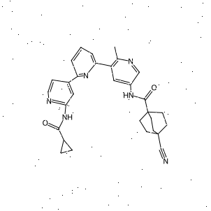 Cc1ncc(NC(=O)C23CCC(C#N)(CC2)CC3)cc1-c1cccc(-c2ccnc(NC(=O)C3CC3)c2)n1